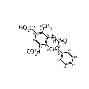 Cc1c(C(=O)O)cc(C(=O)O)c(C)c1NC(=O)Oc1ccccc1